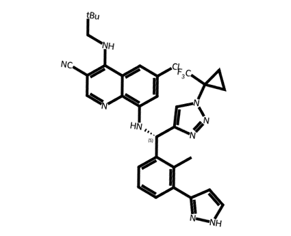 Cc1c(-c2cc[nH]n2)cccc1[C@H](Nc1cc(Cl)cc2c(NCC(C)(C)C)c(C#N)cnc12)c1cn(C2(C(F)(F)F)CC2)nn1